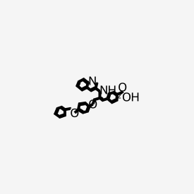 NC(/C(=C\c1ccc(C(=O)O)cc1)COc1ccc(OCc2ccccc2)cc1)c1cnc2ccccc2c1